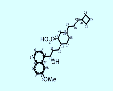 COc1ccc2nccc([C@@H](O)CC[C@@H]3CCN(CCSC4CCC4)C[C@@H]3C(=O)O)c2c1